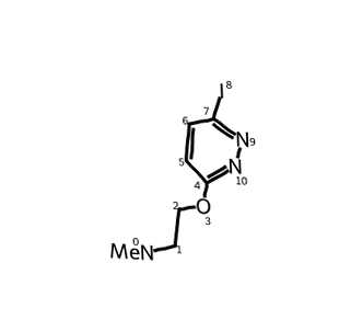 CNCCOc1ccc(I)nn1